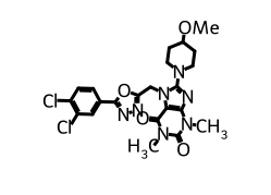 COC1CCN(c2nc3c(c(=O)n(C)c(=O)n3C)n2Cc2nnc(-c3ccc(Cl)c(Cl)c3)o2)CC1